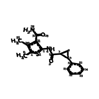 Cc1sc(NC(=O)C2CC2c2ccccc2)c(C(N)=O)c1C